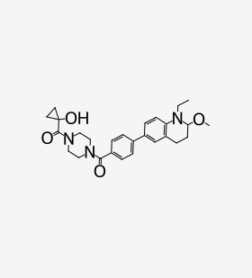 CCN1c2ccc(-c3ccc(C(=O)N4CCN(C(=O)C5(O)CC5)CC4)cc3)cc2CCC1OC